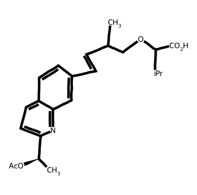 CC(=O)O[C@H](C)c1ccc2ccc(/C=C/C(C)COC(C(=O)O)C(C)C)cc2n1